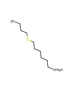 CCCCCCCCCCCCCSCCCC(C)C